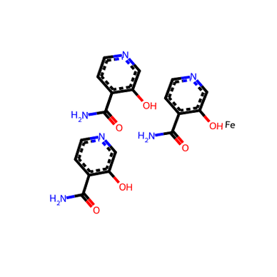 NC(=O)c1ccncc1O.NC(=O)c1ccncc1O.NC(=O)c1ccncc1O.[Fe]